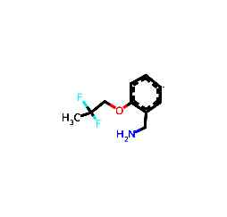 CC(F)(F)COc1cc[c]cc1CN